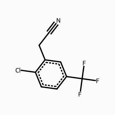 N#CCc1cc(C(F)(F)F)ccc1Cl